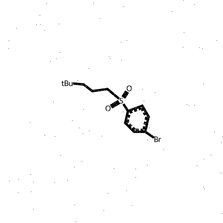 CC(C)(C)CCCS(=O)(=O)c1ccc(Br)cc1